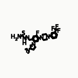 CN(C)[C@@H]1CCN(c2cc(N3CCN(c4cccc(C(F)(F)F)c4)CC3)c(F)cc2/C=N/NC(N)=S)C1